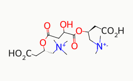 C[N+](C)(C)C[C@H](CC(=O)O)OC(=O)CC(O)C(=O)O[C@@H](CC(=O)O)C[N+](C)(C)C